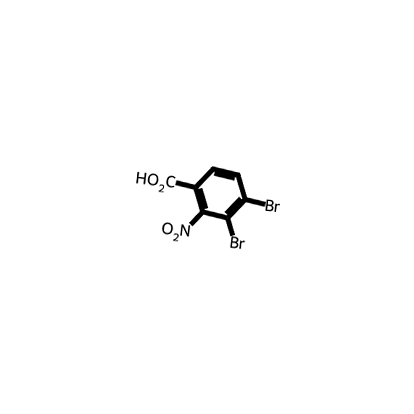 O=C(O)c1ccc(Br)c(Br)c1[N+](=O)[O-]